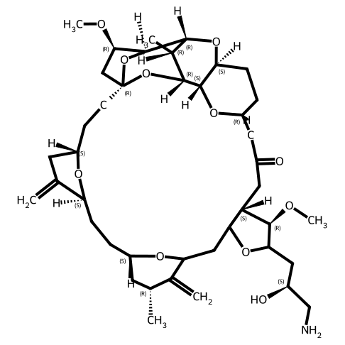 C=C1C2CC3OC(C[C@H](O)CN)[C@H](OC)[C@H]3CC(=O)C[C@H]3CC[C@@H]4O[C@@H]5[C@@H](C)[C@@H](O[C@@]6(CC[C@H]7CC(=C)[C@H](CC[C@@H](C[C@H]1C)O2)O7)C[C@@H](OC)[C@@H]5O6)[C@H]4O3